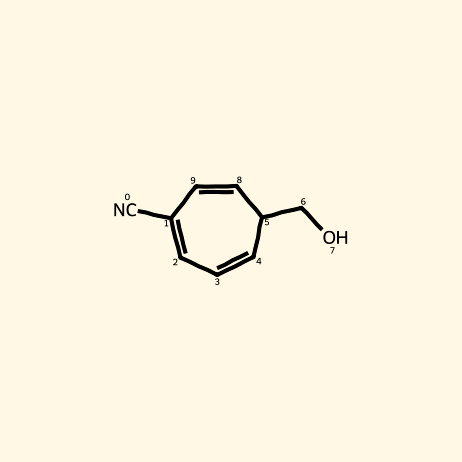 N#CC1=CC=CC(CO)C=C1